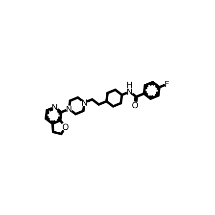 O=C(NC1CCC(CCN2CCN(c3nccc4c3OCC4)CC2)CC1)c1ccc(F)cc1